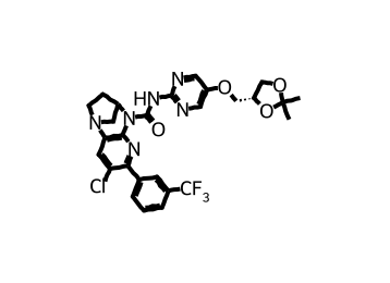 CC1(C)OC[C@@H](COc2cnc(NC(=O)N3c4nc(-c5cccc(C(F)(F)F)c5)c(Cl)cc4N4CCC3C4)nc2)O1